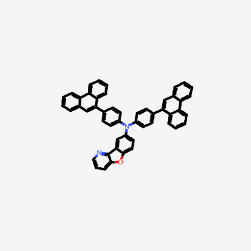 c1ccc2c(c1)cc(-c1ccc(N(c3ccc(-c4cc5ccccc5c5ccccc45)cc3)c3ccc4oc5cccnc5c4c3)cc1)c1ccccc12